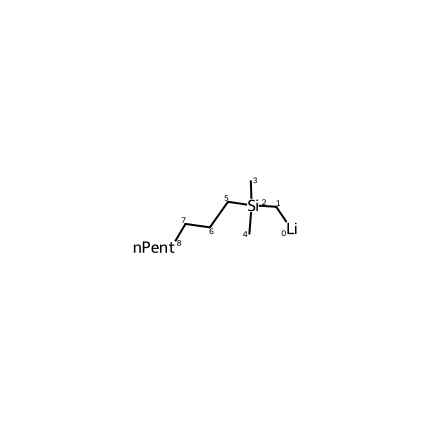 [Li][CH2][Si](C)(C)CCCCCCCC